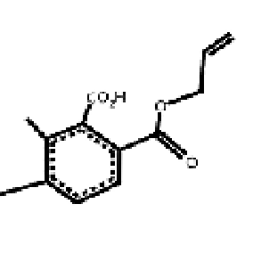 C=CCOC(=O)c1ccc(C)c(C)c1C(=O)O